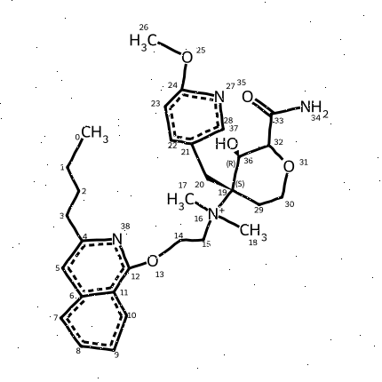 CCCCc1cc2ccccc2c(OCC[N+](C)(C)[C@@]2(Cc3ccc(OC)nc3)CCOC(C(N)=O)[C@@H]2O)n1